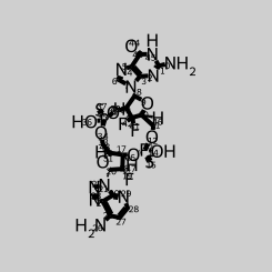 Nc1nc2c(ncn2[C@@H]2O[C@@H]3COP(O)(=S)O[C@H]4[C@H](F)[C@H](n5nnc6c(N)ccnc65)O[C@@H]4COP(O)(=S)O[C@@H]2C3(F)F)c(=O)[nH]1